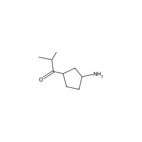 CC(C)C(=O)C1CCC(N)C1